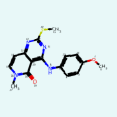 COc1ccc(Nc2nc(SC)nc3ccn(C)c(=O)c23)cc1